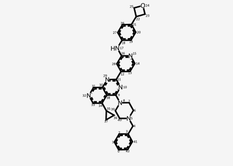 c1ccc(CN2CCN(c3nc(-c4ccnc(Nc5ccc(C6COC6)cc5)c4)nc4cncc(C5CC5)c34)CC2)cc1